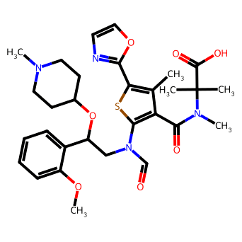 COc1ccccc1C(CN(C=O)c1sc(-c2ncco2)c(C)c1C(=O)N(C)C(C)(C)C(=O)O)OC1CCN(C)CC1